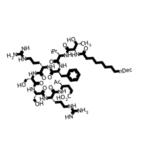 CCCCCCCCCCCCCCCCCC(=O)N[C@H](C(=O)N[C@H](C(=O)N[C@@H](Cc1ccccc1)C(=O)N[C@@H](CCCNC(=N)N)C(=O)N[C@@H](CO)C(=O)N[C@@H](CO)C(=O)N[C@@H](CCCNC(=N)N)C(=O)N[C@@H](CCC(=O)O)C(C)=O)C(C)C)[C@@H](C)O